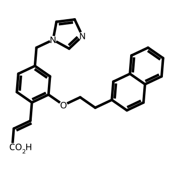 O=C(O)/C=C/c1ccc(Cn2ccnc2)cc1OCCc1ccc2ccccc2c1